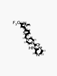 Cn1nc(C(F)(F)F)cc1-c1ccc(CN2CCN(C(=O)Nc3cnccn3)CC2)s1